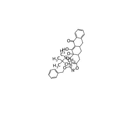 CC(C)(C)[Si](C)(C)OC12C(=O)c3c(OCc4ccccc4)noc3CC1CC1Cc3ccccc3C(=O)C1=C2O